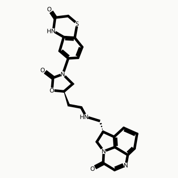 O=C1CSc2ccc(N3C[C@@H](CCNC[C@H]4Cn5c(=O)cnc6cccc4c65)OC3=O)cc2N1